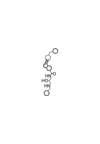 O=C(NCC(O)CNCc1ccccc1)c1ccc2c(ccn2N2CCC(Cc3ccccc3)CC2)c1